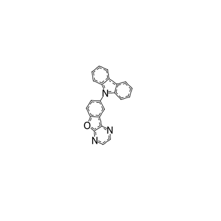 c1ccc2c(c1)c1ccccc1n2-c1ccc2oc3nccnc3c2c1